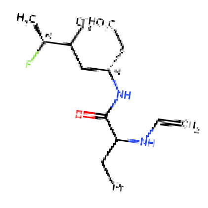 C=CNC(CC(C)C)C(=O)N[C@@H](CC(=O)O)CC([C@H](C)F)C(F)(F)F